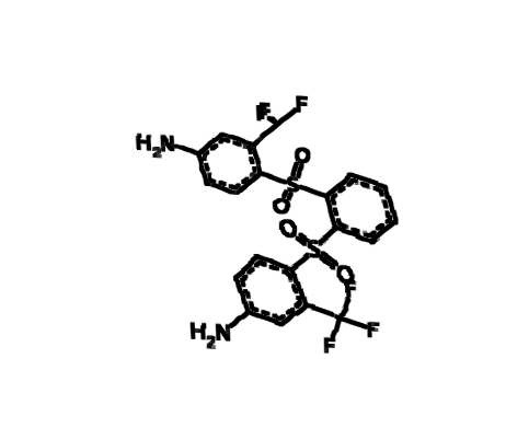 Nc1ccc(S(=O)(=O)c2ccccc2S(=O)(=O)c2ccc(N)cc2C(F)(F)F)c(C(F)(F)F)c1